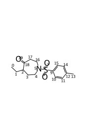 CCC1CCN(S(=O)(=O)c2ccc(C)cc2)CCC1=O